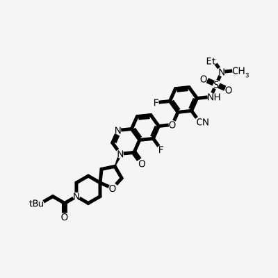 CCN(C)S(=O)(=O)Nc1ccc(F)c(Oc2ccc3ncn([C@H]4COC5(CCN(C(=O)CC(C)(C)C)CC5)C4)c(=O)c3c2F)c1C#N